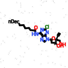 C#C[C@]1(CO)O[C@@H](n2cnc3c(NC(=O)CCCCCCCCCCCCCCC)nc(Cl)nc32)C[C@@H]1O